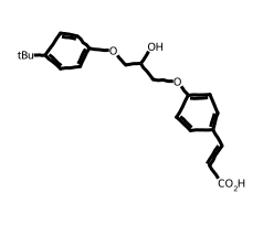 CC(C)(C)c1ccc(OCC(O)COc2ccc(C=CC(=O)O)cc2)cc1